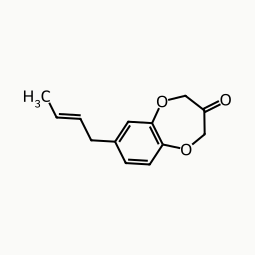 CC=CCc1ccc2c(c1)OCC(=O)CO2